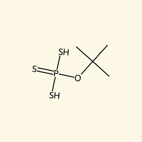 CC(C)(C)OP(=S)(S)S